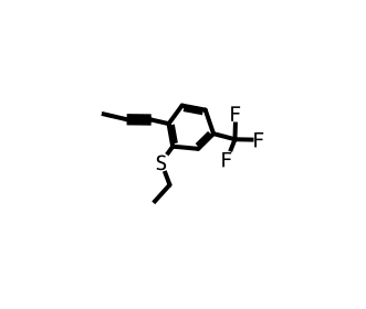 CC#Cc1ccc(C(F)(F)F)cc1SCC